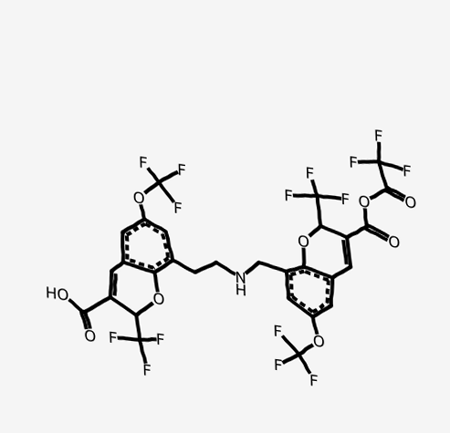 O=C(O)C1=Cc2cc(OC(F)(F)F)cc(CCNCc3cc(OC(F)(F)F)cc4c3OC(C(F)(F)F)C(C(=O)OC(=O)C(F)(F)F)=C4)c2OC1C(F)(F)F